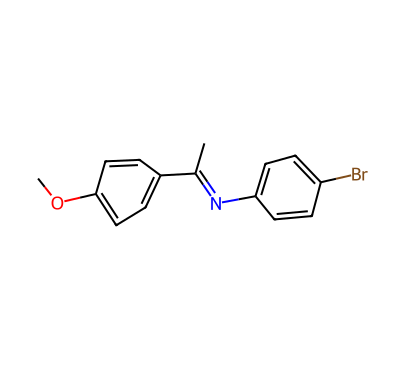 COc1ccc(/C(C)=N/c2ccc(Br)cc2)cc1